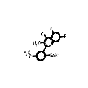 CSc1ccc(OC(F)(F)F)cc1-c1nc2cc(F)cc(F)c2c(Cl)c1C